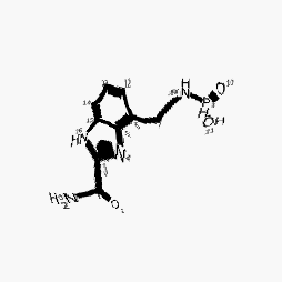 NC(=O)c1nc2c(CN[PH](=O)O)cccc2[nH]1